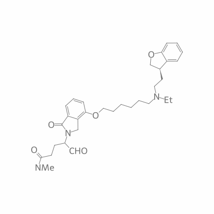 CCN(CCCCCCOc1cccc2c1CN(C(C=O)CCC(=O)NC)C2=O)CC[C@H]1COc2ccccc21